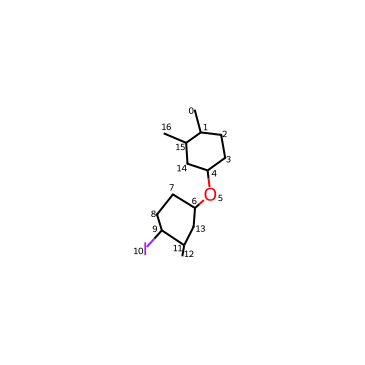 CC1CCC(OC2CCC(I)C(C)C2)CC1C